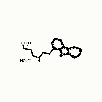 O=C(O)CC[C@H](NCCc1cccc2c1[nH]c1ccccc12)C(=O)O